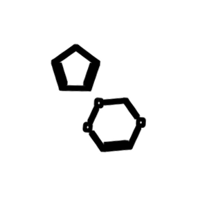 C1=CCC=C1.C1=COOCO1